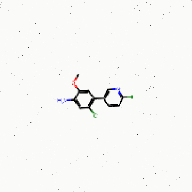 COc1cc(-c2ccc(F)nc2)c(Cl)cc1N